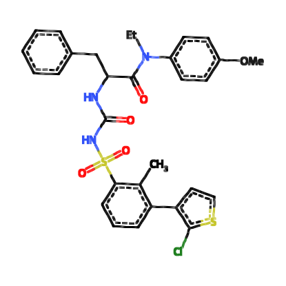 CCN(C(=O)C(Cc1ccccc1)NC(=O)NS(=O)(=O)c1cccc(-c2ccsc2Cl)c1C)c1ccc(OC)cc1